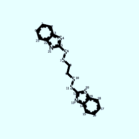 c1ccc2sc(SSCCSSc3nc4ccccc4s3)nc2c1